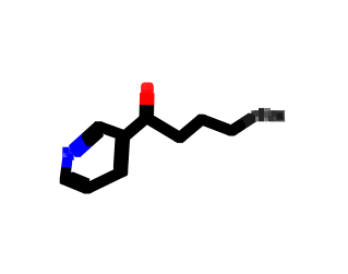 CCCCCCCCCC(=O)c1cccnc1